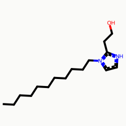 CCCCCCCCCCC[n+]1cc[nH]c1CCO